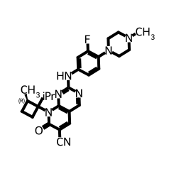 CC(C)C1(n2c(=O)c(C#N)cc3cnc(Nc4ccc(N5CCN(C)CC5)c(F)c4)nc32)CC[C@H]1C